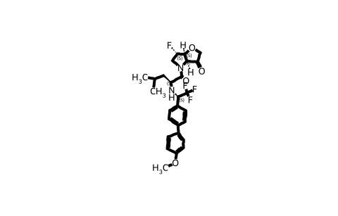 COc1ccc(-c2ccc([C@H](N[C@@H](CC(C)C)C(=O)N3C[C@H](F)[C@H]4OCC(=O)[C@H]43)C(F)(F)F)cc2)cc1